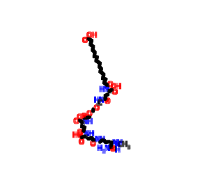 CNN[C@@H](CCCCNC(=O)CC[C@H](NC(=O)CC[C@H](NC(=O)COCCOCCNC(=O)CC[C@H](NC(=O)CCCCCCCCCCCCCCCCC(=O)O)C(=O)O)C(=O)O)C(=O)O)C(N)=O